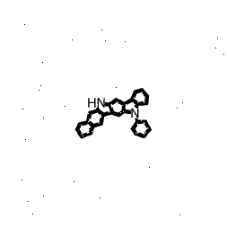 c1ccc(-n2c3ccccc3c3cc4[nH]c5cc6ccccc6cc5c4cc32)cc1